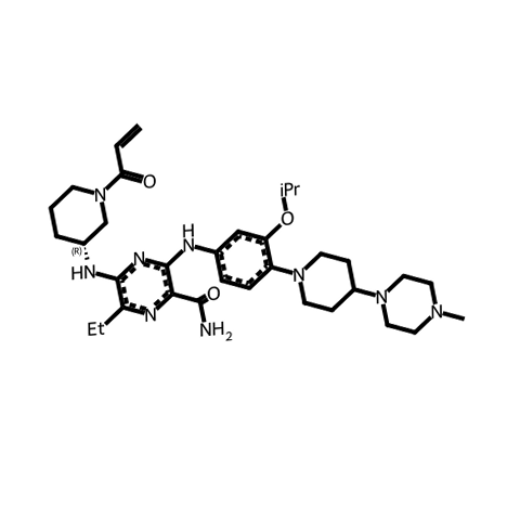 C=CC(=O)N1CCC[C@@H](Nc2nc(Nc3ccc(N4CCC(N5CCN(C)CC5)CC4)c(OC(C)C)c3)c(C(N)=O)nc2CC)C1